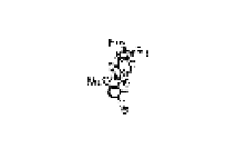 CCOn1c(SCC)nn(C(=O)NS(=O)(=O)C2=C(OC)C=CC(=C=O)C2C)c1=O